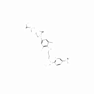 CC(=O)NC[C@H]1CN(c2cc(F)c(NCCON(C)c3ccc([N+](=O)[O-])cn3)c(F)c2)C(=O)O1